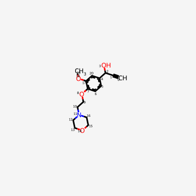 C#CC(O)c1ccc(OCCN2CCOCC2)c(OC)c1